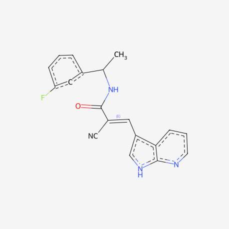 CC(NC(=O)/C(C#N)=C/c1c[nH]c2ncccc12)c1cccc(F)c1